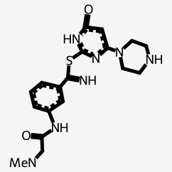 CNCC(=O)Nc1cccc(C(=N)Sc2nc(N3CCNCC3)cc(=O)[nH]2)c1